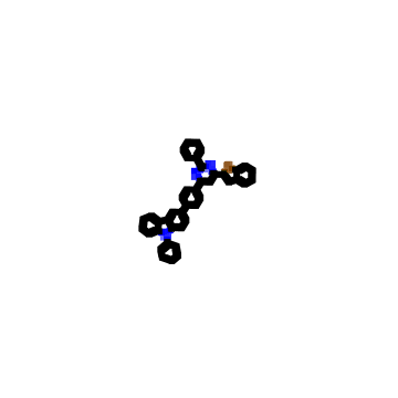 c1ccc(-c2nc(-c3ccc(-c4ccc5c(c4)c4ccccc4n5-c4ccccc4)cc3)cc(-c3cc4ccccc4s3)n2)cc1